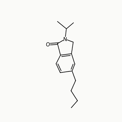 CCCCc1ccc2c(c1)CN(C(C)C)C2=O